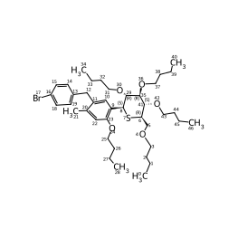 CCCCOC[C@H]1S[C@@H](c2cc(Cc3ccc(Br)cc3)c(C)cc2OCCCC)[C@H](OCCCC)[C@@H](OCCCC)[C@@H]1OCCCC